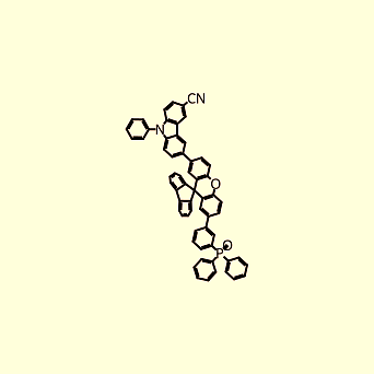 N#Cc1ccc2c(c1)c1cc(-c3ccc4c(c3)C3(c5cc(-c6cccc(P(=O)(c7ccccc7)c7ccccc7)c6)ccc5O4)c4ccccc4-c4ccccc43)ccc1n2-c1ccccc1